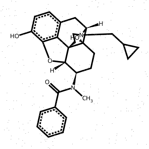 CN(C(=O)c1ccccc1)[C@@H]1CC[C@@]2(O)[C@H]3Cc4ccc(O)c5c4[C@@]2(CCN3CC2CC2)[C@H]1O5